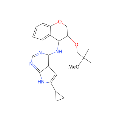 COC(C)(C)COC1COc2ccccc2C1Nc1ncnc2[nH]c(C3CC3)cc12